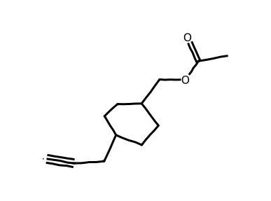 [C]#CCC1CCC(COC(C)=O)CC1